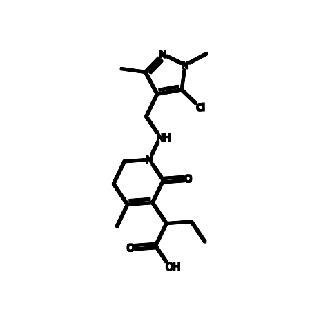 CCC(C(=O)O)C1=C(C)CCN(NCc2c(C)nn(C)c2Cl)C1=O